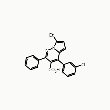 CCOC(=O)c1c(-c2ccccc2)nn2c(CC)ccc2c1-c1cccc(Cl)c1